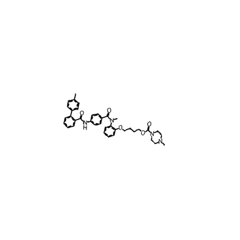 Cc1ccc(-c2ccccc2C(=O)Nc2ccc(C(=O)N(C)c3ccccc3OCCCCOC(=O)N3CCN(C)CC3)cc2)cc1